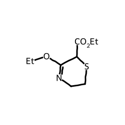 CCOC(=O)C1SCCN=C1OCC